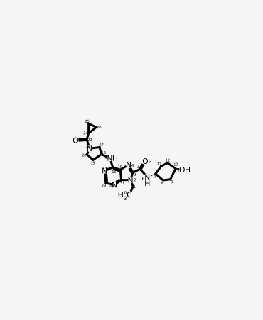 CCn1c(C(=O)N[C@H]2CC[C@H](O)CC2)nc2c(NC3CCN(C(=O)C4CC4)C3)ncnc21